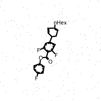 CCCCCCC1=CCC(c2cc(F)c(C(=O)Oc3ccc(F)cc3)c(F)c2)C=C1